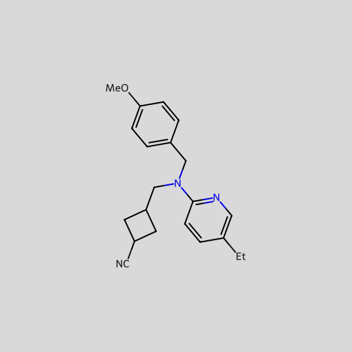 CCc1ccc(N(Cc2ccc(OC)cc2)CC2CC(C#N)C2)nc1